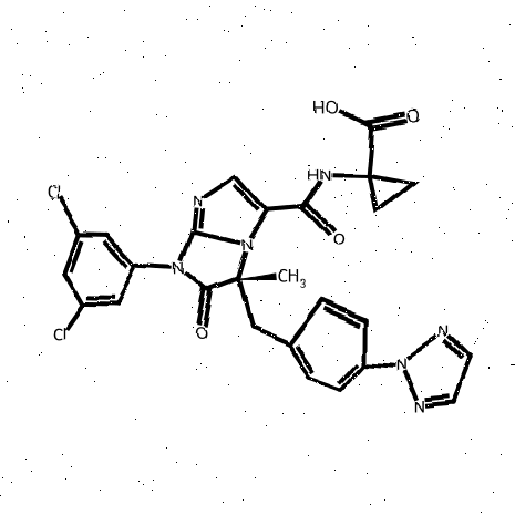 C[C@@]1(Cc2ccc(-n3nccn3)cc2)C(=O)N(c2cc(Cl)cc(Cl)c2)c2ncc(C(=O)NC3(C(=O)O)CC3)n21